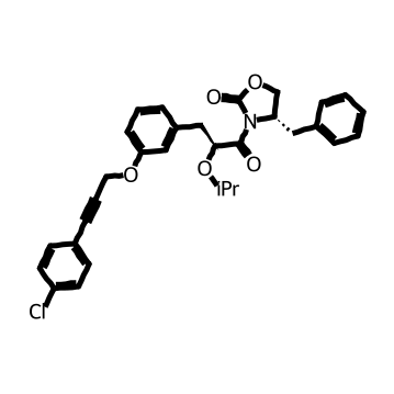 CC(C)O[C@@H](Cc1cccc(OCC#Cc2ccc(Cl)cc2)c1)C(=O)N1C(=O)OC[C@@H]1Cc1ccccc1